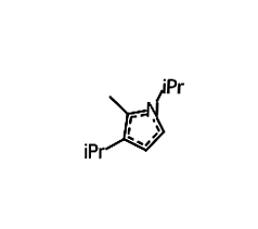 Cc1c(C(C)C)ccn1C(C)C